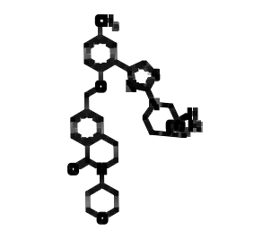 CCOC(=O)[C@@]12CCN(c3nc(-c4cc(C)ccc4OCc4ccc5c(c4)CCN(C4CCOCC4)C5=O)cs3)C[C@@H]1C2